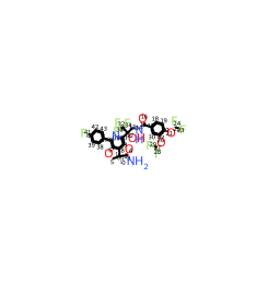 C[C@]1(C(N)=O)COc2c1cc(C(O)(CNC(=O)c1ccc(OC(F)F)c(OC(F)F)c1)C(F)(F)F)nc2-c1ccc(F)cc1